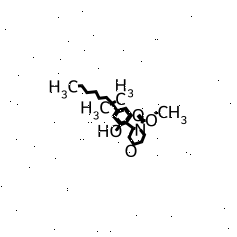 CCCCCCC(C)(C)c1ccc(C2CC(=O)CCN2C(=O)OCC)c(O)c1